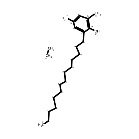 CC.CCCCCCCCCCCCCCc1cc(C)cc(C)c1O